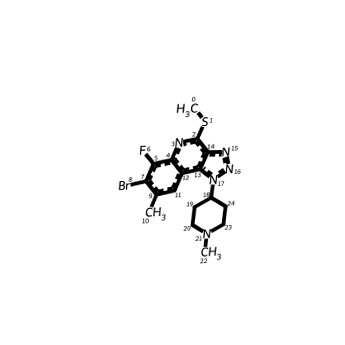 CSc1nc2c(F)c(Br)c(C)cc2c2c1nnn2C1CCN(C)CC1